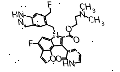 CN(C)CCOC(=O)c1c(-c2ccc[nH]c2=O)c2c3occc3c(F)cc2n1Cc1cc2cn[nH]c2cc1CF